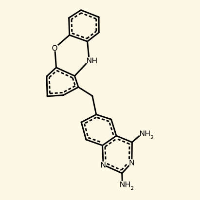 Nc1nc(N)c2cc(Cc3cccc4c3Nc3ccccc3O4)ccc2n1